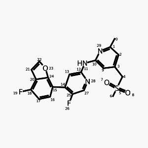 Cc1cc(CS(C)(=O)=O)cc(Nc2cc(-c3ccc(F)c4ccoc34)c(F)cn2)n1